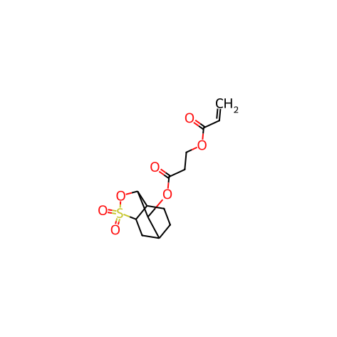 C=CC(=O)OCCC(=O)OC1C2CCC3C1OS(=O)(=O)C3C2